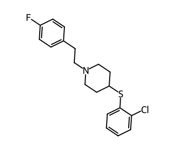 Fc1ccc(CCN2CCC(Sc3ccccc3Cl)CC2)cc1